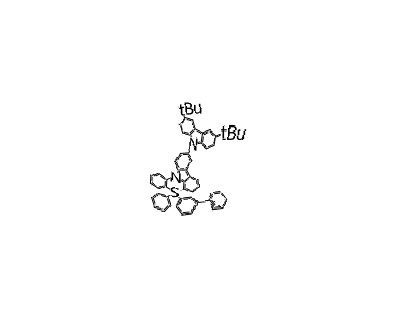 CC(C)(C)c1ccc2c(c1)c1cc(C(C)(C)C)ccc1n2-c1ccc2c(c1)c1cccc3c1n2-c1ccccc1S3(c1ccccc1)c1cccc(-c2ccccc2)c1